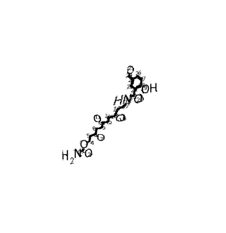 NC(=O)OCCC(=O)CCC(=O)CCC(=O)CCNC(=O)c1cc(C=O)ccc1O